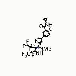 CN/C(=C(/OCC(F)F)C(=N)C(F)(F)C(F)(F)F)n1cc(-c2ccc(Cl)c(C(=O)NC3CC3)c2)cn1